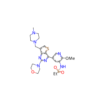 CCS(=O)(=O)Nc1cc(-c2nc(N3CCOCC3)nc3c(CN4CCN(C)CC4)csc23)cnc1OC